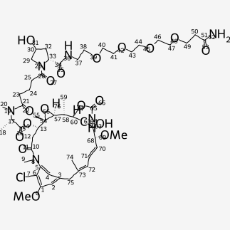 COc1cc2cc(c1Cl)N(C)C(=O)C[C@H](OC(=O)[C@H](C)N(C)C(=O)CCCC(=O)N1CC(O)C[C@@H]1C(=O)NCCOCCOCCOCCOCCC(N)=O)[C@]1(C)O[C@H]1[C@H](C)[C@@H]1C[C@@](O)(NC(=O)O1)[C@H](OC)/C=C/C=C(\C)C2